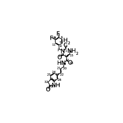 C=CN(Cc1ccc(F)c(F)c1)C(=O)/C(=C\N)C(=O)NC/C=C/c1ccc2c(c1)NC(=O)C2